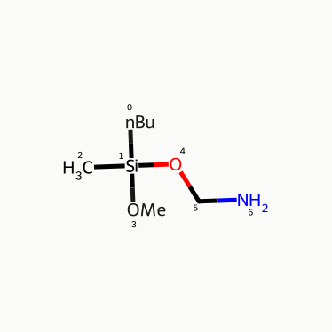 CCCC[Si](C)(OC)OCN